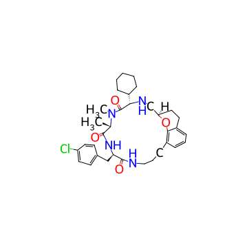 C[C@@H]1C(=O)N[C@H](Cc2ccc(Cl)cc2)C(=O)NCCCc2cccc3c2O[C@H](CC3)CN[C@@H](C2CCCCC2)C(=O)N1C